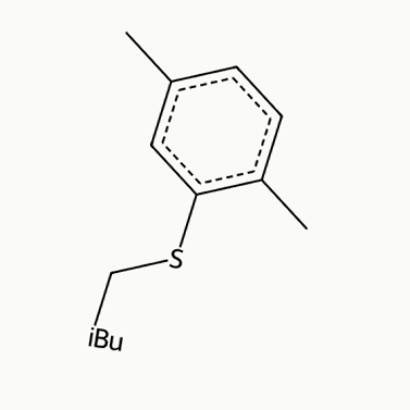 CCC(C)CSc1cc(C)ccc1C